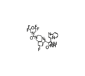 O=C(N1CCn2cc(-c3c(-c4cnc5ccccn45)[nH][nH]c3=O)c3cc(F)cc(c32)C1)N1CC(F)(F)OC(F)(F)C1